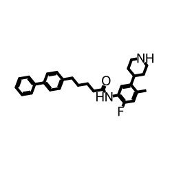 Cc1cc(F)c(NC(=O)CCCCc2ccc(-c3ccccc3)cc2)cc1C1CCNCC1